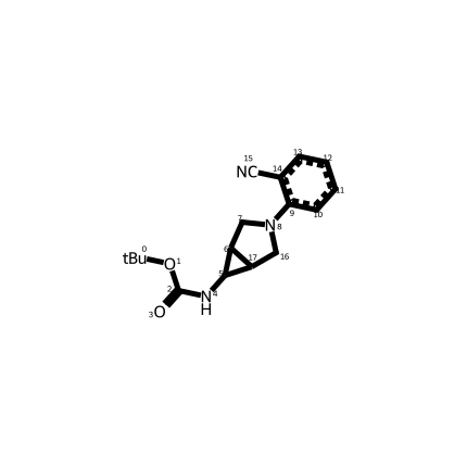 CC(C)(C)OC(=O)NC1C2CN(c3ccccc3C#N)CC21